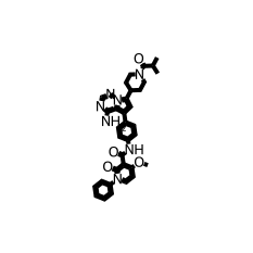 COc1ccn(-c2ccccc2)c(=O)c1C(=O)Nc1ccc(-c2cc(C3CCN(C(=O)C(C)C)CC3)n3ncnc(N)c23)cc1